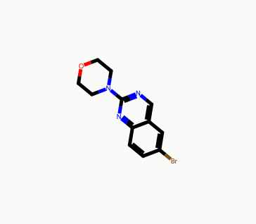 Brc1ccc2nc(N3CCOCC3)ncc2c1